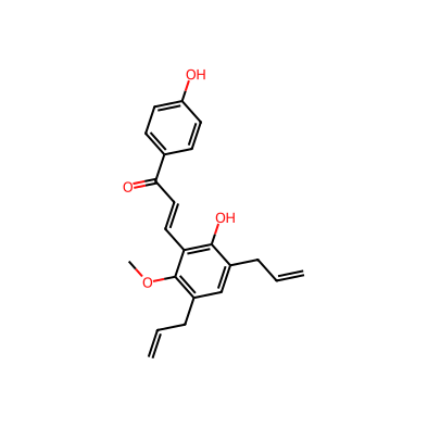 C=CCc1cc(CC=C)c(OC)c(C=CC(=O)c2ccc(O)cc2)c1O